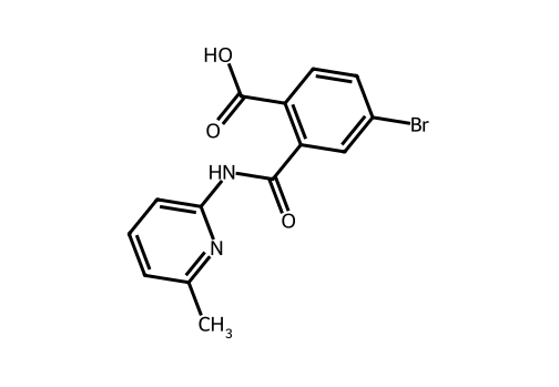 Cc1cccc(NC(=O)c2cc(Br)ccc2C(=O)O)n1